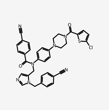 N#Cc1ccc(Cn2cncc2CN(C(=O)c2ccc(C#N)cc2)c2ccc(N3CCN(C(=O)c4ccc(Cl)s4)CC3)cc2)cc1